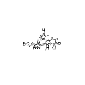 CCOC(=O)c1nnc(-c2[nH]c3c(Cl)c(Cl)ccc3c2-c2cn[nH]c2)[nH]1